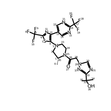 C[C@@H]1CN(c2sc(C(F)(F)F)nc2-c2cnc(C(F)(F)F)nc2)CCN1C(=O)Cn1cnc(C(C)(C)O)n1